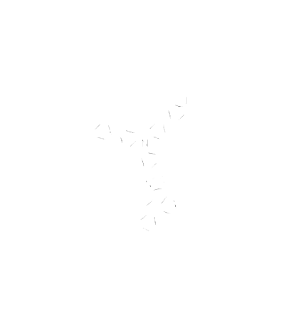 Fc1ccc(-c2ccc(N(c3ccc(-c4ccccc4)cc3)c3ccc(-c4nc5c(s4)-c4cccc6c4c-5cc4ccccc46)cc3)cc2)cc1